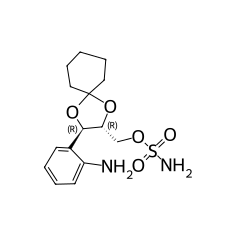 Nc1ccccc1[C@H]1OC2(CCCCC2)O[C@@H]1COS(N)(=O)=O